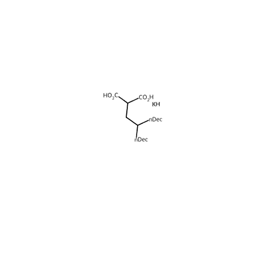 CCCCCCCCCCC(CCCCCCCCCC)CC(C(=O)O)C(=O)O.[KH]